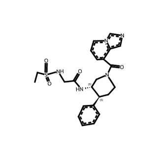 CCS(=O)(=O)NCC(=O)N[C@@H]1CN(C(=O)c2cccn3cncc23)CC[C@H]1c1ccccc1